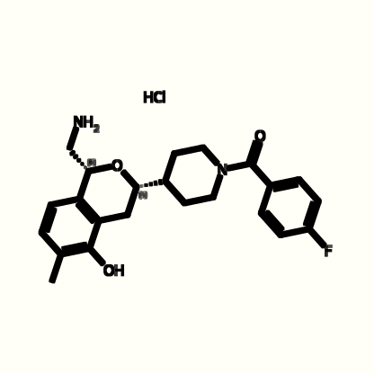 Cc1ccc2c(c1O)C[C@@H](C1CCN(C(=O)c3ccc(F)cc3)CC1)O[C@H]2CN.Cl